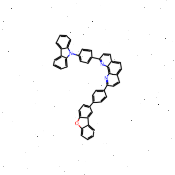 c1ccc2c(c1)oc1ccc(-c3ccc(-c4ccc5ccc6ccc(-c7ccc(-n8c9ccccc9c9ccccc98)cc7)nc6c5n4)cc3)cc12